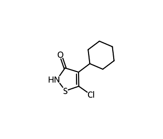 O=c1[nH]sc(Cl)c1C1CCCCC1